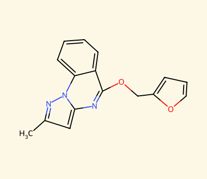 Cc1cc2nc(OCc3ccco3)c3ccccc3n2n1